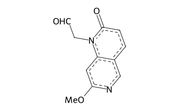 COc1cc2c(ccc(=O)n2CC=O)cn1